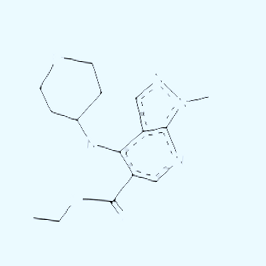 CCOC(=O)c1cnc2c(cnn2C)c1NC1CCOCC1